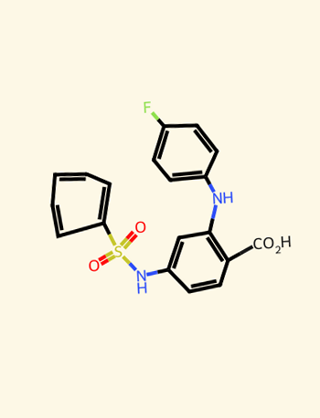 O=C(O)c1ccc(NS(=O)(=O)c2ccccc2)cc1Nc1ccc(F)cc1